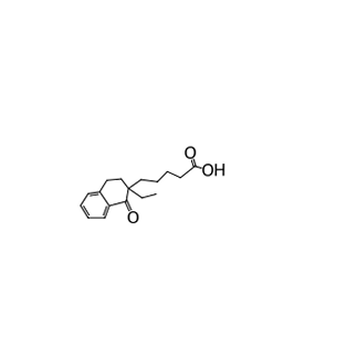 CCC1(CCCCC(=O)O)CCc2ccccc2C1=O